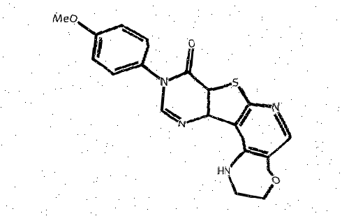 COc1ccc(N2C=NC3c4c(ncc5c4NCCO5)SC3C2=O)cc1